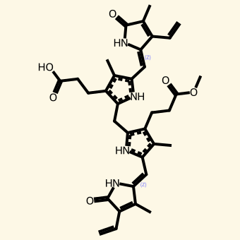 C=CC1=C(C)/C(=C/c2[nH]c(Cc3[nH]c(/C=C4\NC(=O)C(C)=C4C=C)c(C)c3CCC(=O)O)c(CCC(=O)OC)c2C)NC1=O